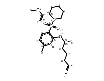 COC(=O)[C@@H]1CCCCN1S(=O)(=O)c1ccc(C)nc1O[C@H](C)CCCC=O